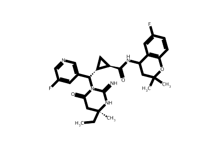 CC[C@@]1(C)CC(=O)N(C(c2cncc(F)c2)[C@@H]2C[C@H]2C(=O)NC2CC(C)(C)Oc3ccc(F)cc32)C(=N)N1